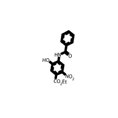 CCOC(=O)c1cc(O)c(NC(=O)c2ccccc2)cc1[N+](=O)[O-]